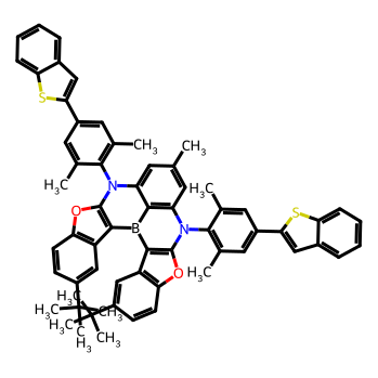 Cc1cc2c3c(c1)N(c1c(C)cc(-c4cc5ccccc5s4)cc1C)c1oc4ccc(C(C)(C)C)cc4c1B3c1c(oc3ccc(C(C)(C)C)cc13)N2c1c(C)cc(-c2cc3ccccc3s2)cc1C